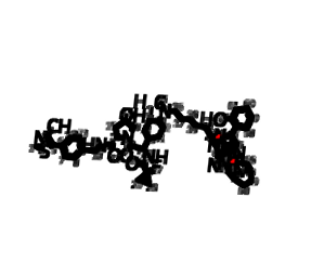 Cc1ncsc1-c1ccc(CNC(=O)[C@@H]2C[C@@H](O)CN2C(=O)C(NC(=O)C2(F)CC2)C2CCC(N(C)CCCCCCCc3cnc(N4C5CCC4CN(c4cc(-c6ccccc6O)nnc4N)C5)nc3)CC2)cc1